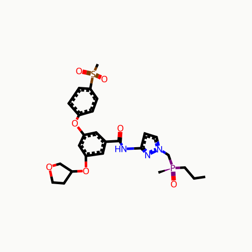 CCC[P@](C)(=O)Cn1ccc(NC(=O)c2cc(Oc3ccc(S(C)(=O)=O)cc3)cc(OC3CCOC3)c2)n1